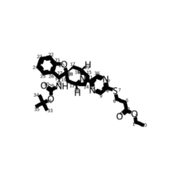 CCOC(=O)CCSc1cnc(N2[C@@H]3CC[C@H]2C[C@]2(C3)Oc3ccccc3[C@H]2NC(=O)OC(C)(C)C)cn1